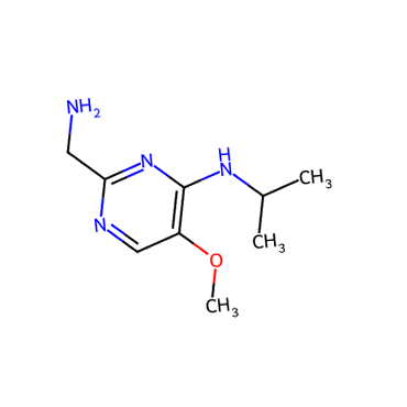 COc1cnc(CN)nc1NC(C)C